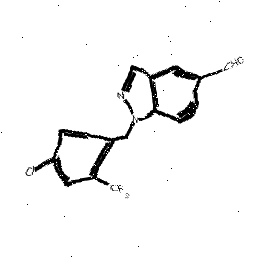 O=Cc1ccc2c(cnn2Cc2ccc(Cl)cc2C(F)(F)F)c1